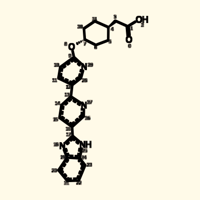 O=C(O)C[C@H]1CC[C@H](Oc2ccc(-c3ccc(-c4nc5ccccc5[nH]4)cn3)cn2)CC1